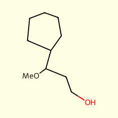 COC(CCO)C1CCCCC1